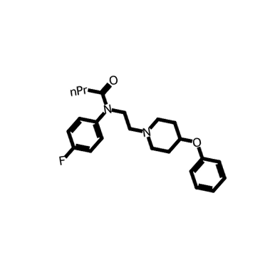 CCCC(=O)N(CCN1CCC(Oc2ccccc2)CC1)c1ccc(F)cc1